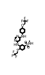 CNS(=O)(=O)c1ccc(SCC(F)(F)F)c(Nc2cc(Nc3ccc(OCC(F)(F)F)cc3)ncn2)c1